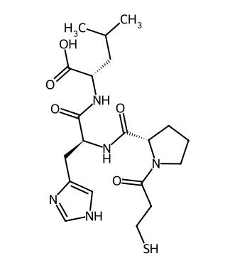 CC(C)C[C@H](NC(=O)[C@H](Cc1c[nH]cn1)NC(=O)[C@@H]1CCCN1C(=O)CCS)C(=O)O